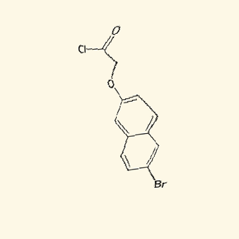 O=C(Cl)COc1ccc2cc(Br)ccc2c1